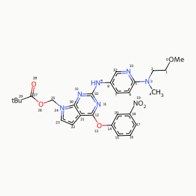 COCCN(C)c1ccc(Nc2nc(Oc3cccc([N+](=O)[O-])c3)c3ccn(COC(=O)C(C)(C)C)c3n2)cn1